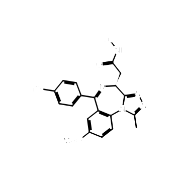 CCNC(=O)C[C@@H]1N=C(c2ccc(C(C)C)cc2)c2cc(OC)ccc2-n2c(C)nnc21